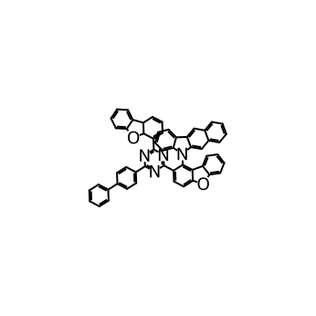 C1=CC2c3ccccc3OC2C(c2nc(-c3ccc(-c4ccccc4)cc3)nc(-c3ccc4oc5ccccc5c4c3-n3c4ccccc4c4cc5ccccc5cc43)n2)=C1